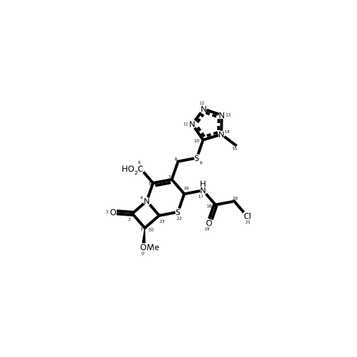 CO[C@H]1C(=O)N2C(C(=O)O)=C(CSc3nnnn3C)C(NC(=O)CCl)SC12